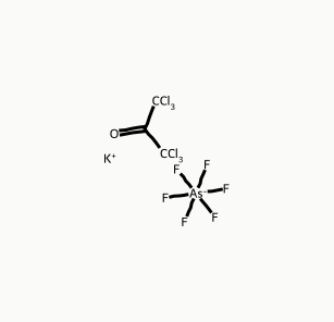 F[As-](F)(F)(F)(F)F.O=C(C(Cl)(Cl)Cl)C(Cl)(Cl)Cl.[K+]